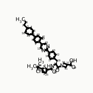 CCCc1ccc(-c2ccc(-c3cnc(-c4ccc(C[C@H](NC(=O)c5ccc(C(C)(C)C)s5)C(=O)N5CC(C(=O)O)C5)cc4)nc3)c(F)c2)cc1